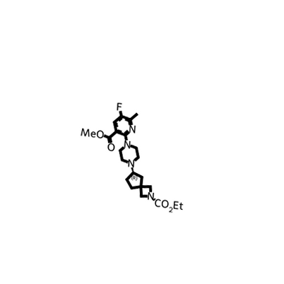 CCOC(=O)N1CC2(CC[C@@H](N3CCN(c4nc(C)c(F)cc4C(=O)OC)CC3)C2)C1